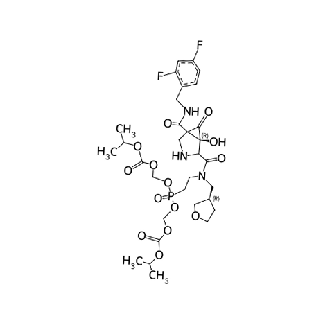 CC(C)OC(=O)OCOP(=O)(CCN(C[C@H]1CCOC1)C(=O)C1NCC2(C(=O)NCc3ccc(F)cc3F)C(=O)[C@]12O)OCOC(=O)OC(C)C